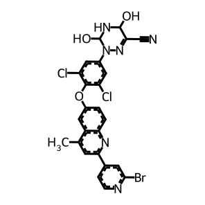 Cc1cc(-c2ccnc(Br)c2)nc2ccc(Oc3c(Cl)cc(N4N=C(C#N)C(O)NC4O)cc3Cl)cc12